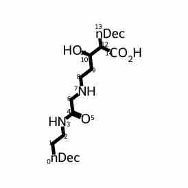 CCCCCCCCCCCCNC(=O)CNCCC(O)C(CCCCCCCCCC)C(=O)O